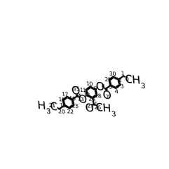 CCc1ccc(C(=O)Oc2ccc(OC(=O)c3ccc(CC)cc3)c(C(C)=O)c2)cc1